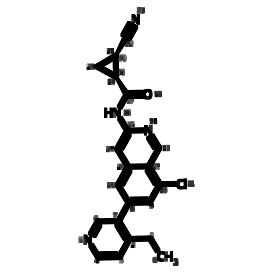 CCc1ccncc1-c1cc(Cl)c2cnc(NC(=O)[C@H]3C[C@H]3C#N)cc2c1